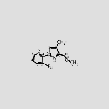 [CH2]c1cn(-c2ncccc2F)nc1COC